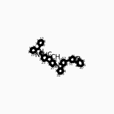 CC1(C)c2cc(-c3nc(-c4ccccc4)c4ccccc4n3)ccc2-c2ccc(-n3c4ccccc4c4cc(-c5ccc6oc7ccccc7c6c5)ccc43)cc21